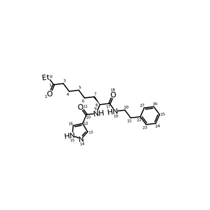 CCC(=O)CCCCC[C@H](NC(=O)c1cn[nH]c1)C(=O)NCCc1ccccc1